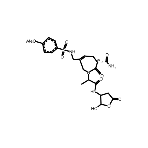 COc1ccc(S(=O)(=O)NCC2=CC[C@H](C(N)=O)C(=O)N(C(C)C(=O)NC3CC(=O)OC3O)C2)cc1